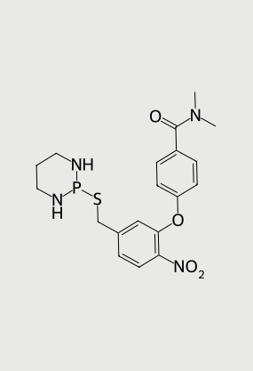 CN(C)C(=O)c1ccc(Oc2cc(CSP3NCCCN3)ccc2[N+](=O)[O-])cc1